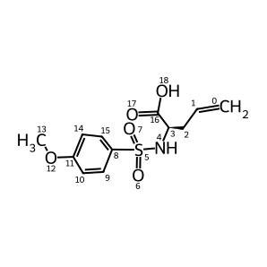 C=CC[C@@H](NS(=O)(=O)c1ccc(OC)cc1)C(=O)O